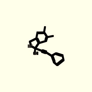 Cc1cc2c(cc1C)C(O)(C#Cc1ccccc1)NC2